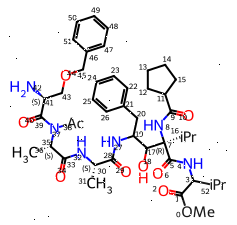 COC(=O)C(NC(=O)[C@@](NC(=O)C1CCCC1)(C(C)C)C(O)C(Cc1ccccc1)NC(=O)[C@H](C)NC(=O)[C@H](C)N(C(C)=O)C(=O)[C@@H](N)COCc1ccccc1)C(C)C